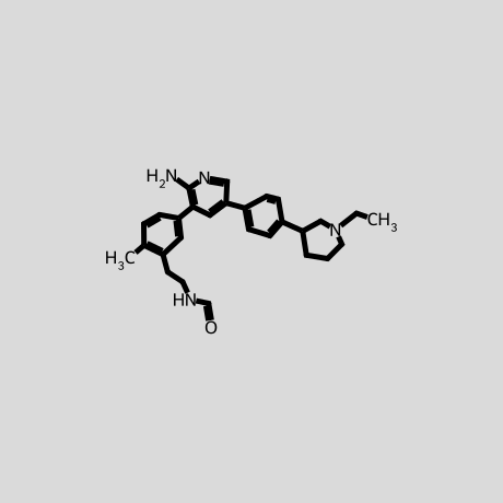 CCN1CCCC(c2ccc(-c3cnc(N)c(-c4ccc(C)c(CCNC=O)c4)c3)cc2)C1